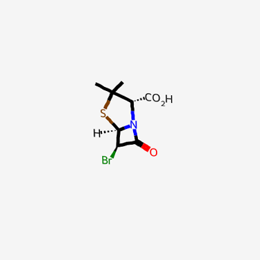 CC1(C)S[C@@H]2[C@H](Br)C(=O)N2[C@H]1C(=O)O